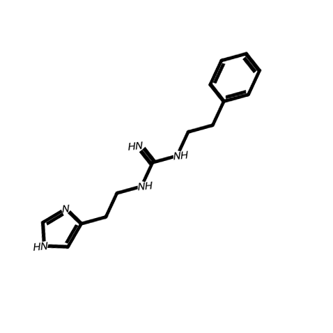 N=C(NCCc1ccccc1)NCCc1c[nH]cn1